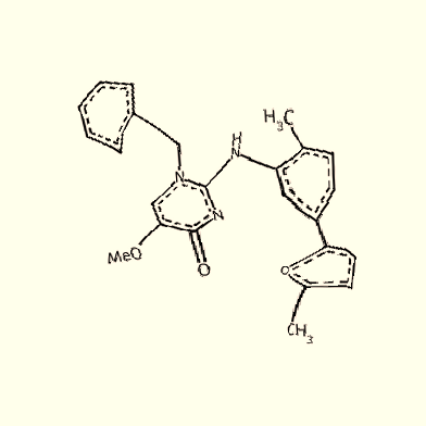 COc1cn(Cc2ccccc2)c(Nc2cc(-c3ccc(C)o3)ccc2C)nc1=O